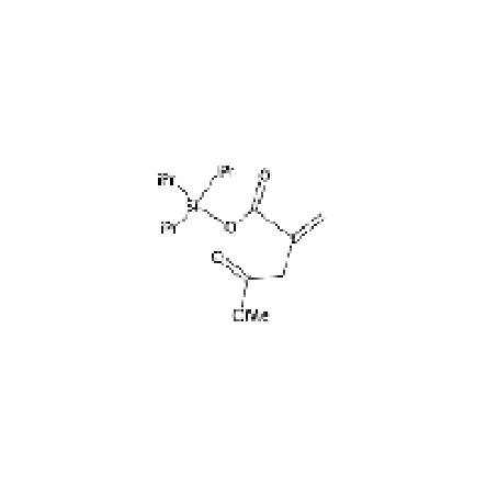 C=C(CC(=O)OC)C(=O)O[Si](C(C)C)(C(C)C)C(C)C